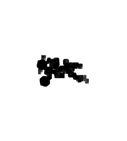 COC(=O)[C@H](CCN(C(=O)COC(C)=O)[C@@H](c1cc(-c2cc(F)ccc2F)cn1Cc1ccccc1)C(C)(C)C)NC(=O)OCC[SiH2]C